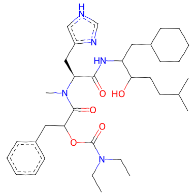 CCN(CC)C(=O)OC(Cc1ccccc1)C(=O)N(C)[C@@H](Cc1c[nH]cn1)C(=O)NC(CC1CCCCC1)C(O)CCC(C)C